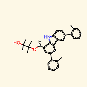 Cc1ccccc1-c1ccc2[nH]c3c(BOC(C)(C)C(C)(C)O)cc(-c4ccccc4C)cc3c2c1